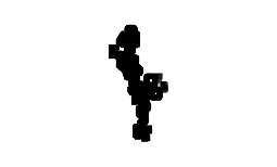 C[Si](C)(C)CCOCn1ncc(N2Cc3cc(F)c(N4CCOCC4)cc3C2)c(C(F)(F)F)c1=O